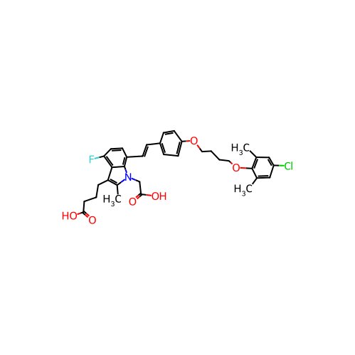 Cc1cc(Cl)cc(C)c1OCCCCOc1ccc(C=Cc2ccc(F)c3c(CCCC(=O)O)c(C)n(CC(=O)O)c23)cc1